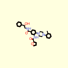 Cc1ccccc1N1CCN(c2ccc(C(=O)NC[C@@H](O)c3ccccc3)cc2NC(=O)c2ccco2)CC1